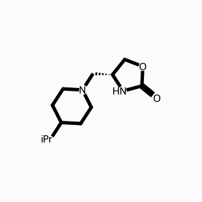 CC(C)C1CCN(C[C@@H]2COC(=O)N2)CC1